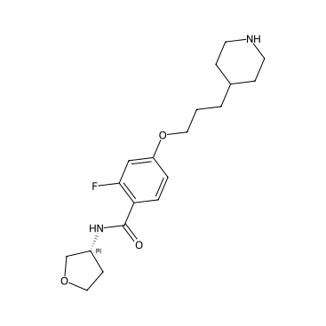 O=C(N[C@@H]1CCOC1)c1ccc(OCCCC2CCNCC2)cc1F